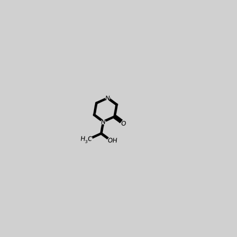 CC(O)N1CC[N]CC1=O